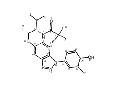 CC(C)[C@H](NC(=O)C(C)(F)F)[C@@H](C)Oc1ccc2c(cnn2C2=CN(C)C(O)C=C2)c1